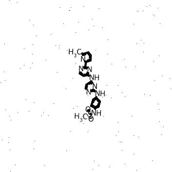 Cc1cccc(-c2nccc(Nc3ccnc(Nc4ccc(NS(C)(=O)=O)cc4)n3)n2)n1